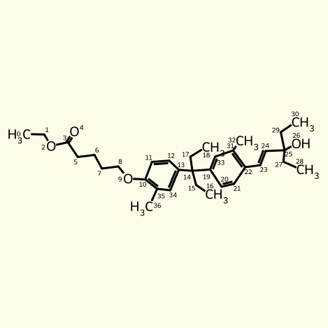 CCOC(=O)CCCCOc1ccc(C(CC)(CC)c2ccc(/C=C/C(O)(CC)CC)c(C)c2)cc1C